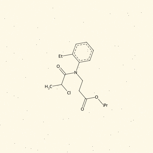 CCc1ccccc1N(CCC(=O)OC(C)C)C(=O)C(C)Cl